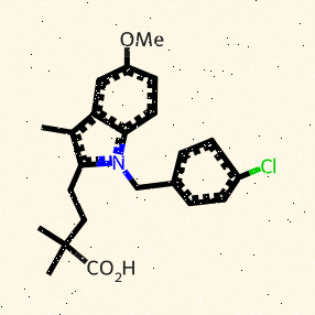 COc1ccc2c(c1)c(C)c(CCC(C)(C)C(=O)O)n2Cc1ccc(Cl)cc1